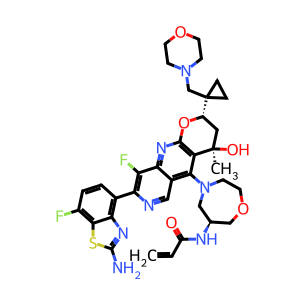 C=CC(=O)N[C@@H]1COCCN(c2c3c(nc4c(F)c(-c5ccc(F)c6sc(N)nc56)ncc24)O[C@H](C2(CN4CCOCC4)CC2)C[C@@]3(C)O)C1